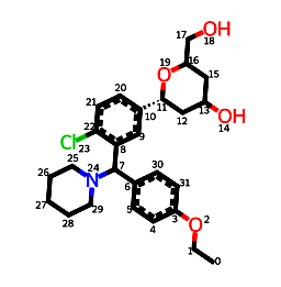 CCOc1ccc(C(c2cc([C@H]3CC(O)CC(CO)O3)ccc2Cl)N2CCCCC2)cc1